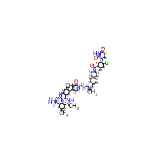 Cc1nc(N[C@H](C)c2cc(N)cc(C(F)(F)F)c2)c2cc(-c3ccn(CCCN(C)CC4CCC5(CC4)CCN(C(=O)c4ccc(Cl)c(N6CCC(=O)NC6=O)c4)CC5)c(=O)c3)c(C)cc2n1